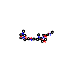 c1ccc(-c2nc3cc4oc5c(N(c6ccc7c8ccc(-c9ccc(-c%10nc%11cc%12c(cc%11o%10)oc%10c(N(c%11ccccc%11)c%11cccc%13c%11c%11ccccc%11n%13-c%11ccccc%11)cccc%10%12)cc9)cc8n(-c8ccccc8)c7c6)c6cccc7oc8ccccc8c67)cccc5c4cc3o2)cc1